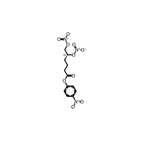 O=C(CCC[C@@H](CO[N+](=O)[O-])O[N+](=O)[O-])Oc1ccc([N+](=O)[O-])cc1